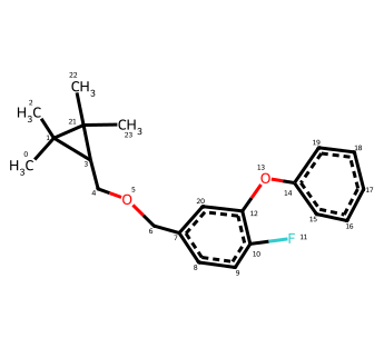 CC1(C)C(COCc2ccc(F)c(Oc3ccccc3)c2)C1(C)C